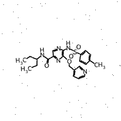 CCC(CC)NC(=O)c1cnc(NS(=O)(=O)c2ccc(C)cc2)c(OCc2cccnc2)n1